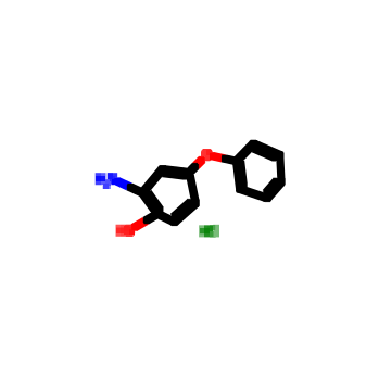 Cl.Nc1cc(Oc2ccccc2)ccc1O